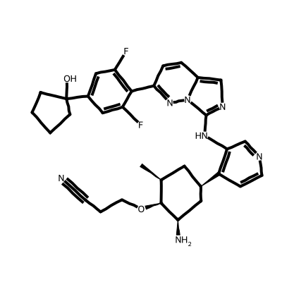 C[C@H]1C[C@@H](c2ccncc2Nc2ncc3ccc(-c4c(F)cc(C5(O)CCCC5)cc4F)nn23)C[C@@H](N)[C@H]1OCCC#N